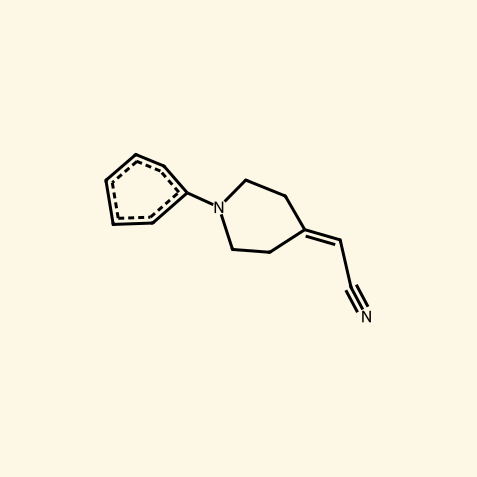 N#CC=C1CCN(c2ccccc2)CC1